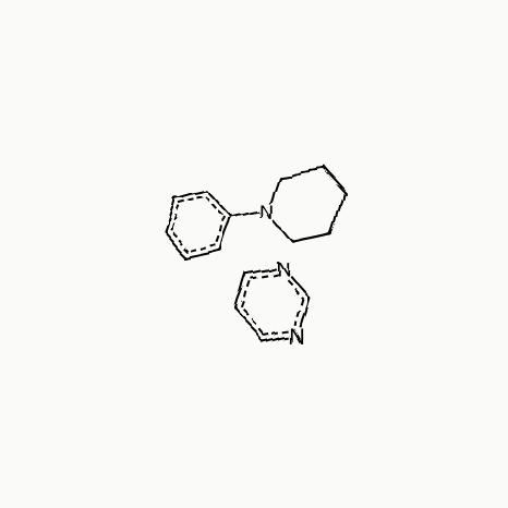 c1ccc(N2CCCCC2)cc1.c1cncnc1